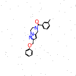 Cc1cccc(C(=O)N2CCn3nc(COc4ccccc4)cc3C2)c1